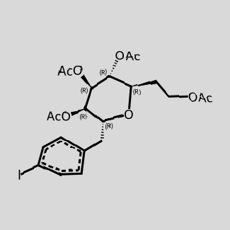 CC(=O)OCC[C@H]1O[C@H](Cc2ccc(I)cc2)[C@@H](OC(C)=O)[C@@H](OC(C)=O)[C@@H]1OC(C)=O